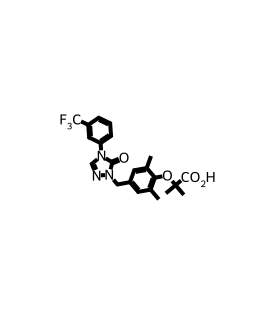 Cc1cc(Cn2ncn(-c3cccc(C(F)(F)F)c3)c2=O)cc(C)c1OC(C)(C)C(=O)O